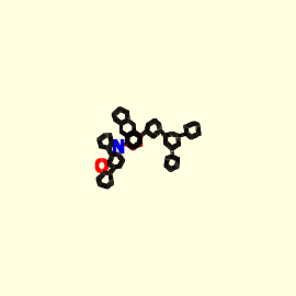 c1ccc(-c2cc(-c3ccccc3)cc(-c3cccc(-c4ccc(-n5c6ccccc6c6c7oc8ccccc8c7ccc65)c5c4C4c6ccccc6C5c5ccccc54)c3)c2)cc1